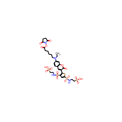 CCN(CCCCCC(=O)ON1C(=O)CCC1=O)c1ccc2cc(-c3sc(S(=O)(=O)NCCS(=O)(=O)O)cc3S(=O)(=O)NCCS(=O)(=O)O)c(=O)oc2c1